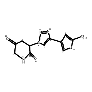 Cc1cc(-c2cn(C3CC(=O)CNC3=O)nn2)cs1